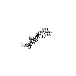 N=C(NCc1ccccc1)c1ccc2oc(C(=O)N[C@H]3CC[C@H](OCC(=O)O)CC3)cc2c1